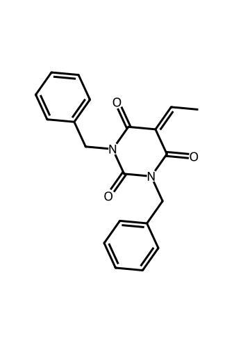 CC=C1C(=O)N(Cc2ccccc2)C(=O)N(Cc2ccccc2)C1=O